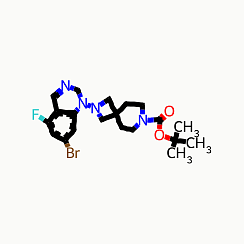 CC(C)(C)OC(=O)N1CCC2(CC1)CN(N1CN=Cc3c(F)cc(Br)cc31)C2